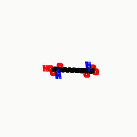 COC(=O)CNC(=O)CCCCCCCCCCC(=O)NCC(=O)O